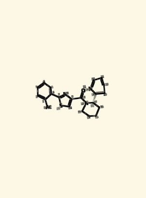 CC(=O)c1ccccc1-c1nc(C(=O)N2CCCC[C@H]2c2ccccn2)cs1